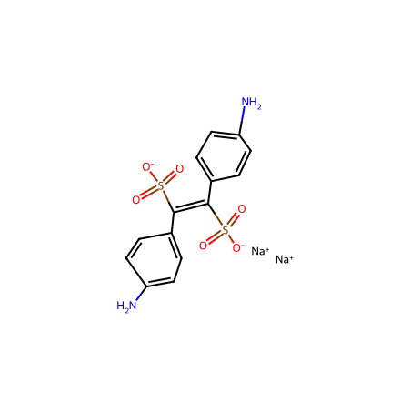 Nc1ccc(C(=C(c2ccc(N)cc2)S(=O)(=O)[O-])S(=O)(=O)[O-])cc1.[Na+].[Na+]